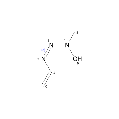 C=C/N=N\N(C)O